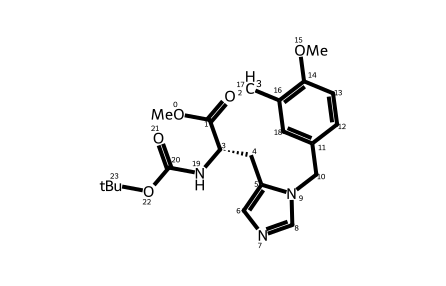 COC(=O)[C@H](Cc1cncn1Cc1ccc(OC)c(C)c1)NC(=O)OC(C)(C)C